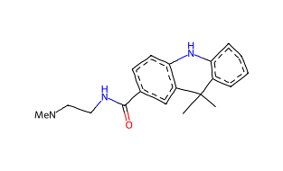 CNCCNC(=O)c1ccc2c(c1)C(C)(C)c1ccccc1N2